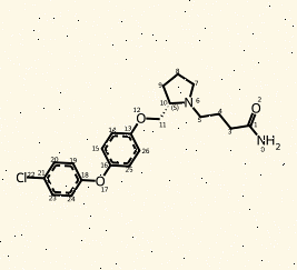 NC(=O)CCCN1CCC[C@H]1COc1ccc(Oc2ccc(Cl)cc2)cc1